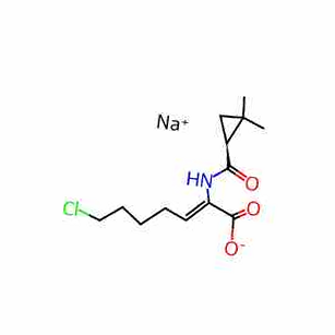 CC1(C)C[C@@H]1C(=O)N/C(=C\CCCCCl)C(=O)[O-].[Na+]